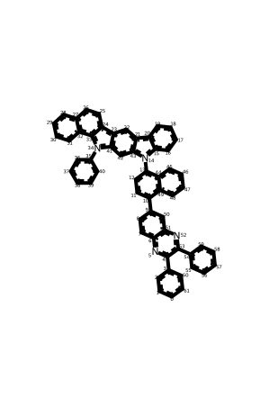 c1ccc(-c2nc3ccc(-c4ccc(-n5c6ccccc6c6cc7c8ccc9ccccc9c8n(-c8ccccc8)c7cc65)c5ccccc45)cc3nc2-c2ccccc2)cc1